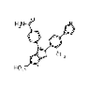 Cc1cc(-n2ccnc2)ccc1-c1cc2sc(C(=O)O)cc2n1-c1ccc(C(N)=O)cc1